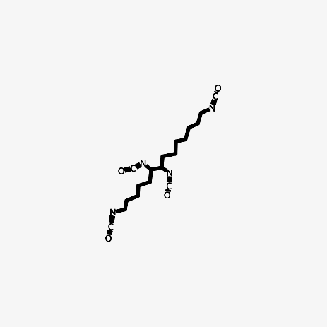 O=C=NCCCCCCCC(N=C=O)C(CCCCCN=C=O)N=C=O